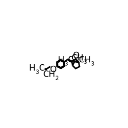 C=C(C)COc1ccc(C=C2C(=O)C3(C)CCC2C3(C)C)cc1